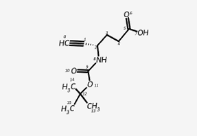 C#C[C@H](CCC(=O)O)NC(=O)OC(C)(C)C